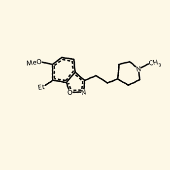 CCc1c(OC)ccc2c(CCC3CCN(C)CC3)noc12